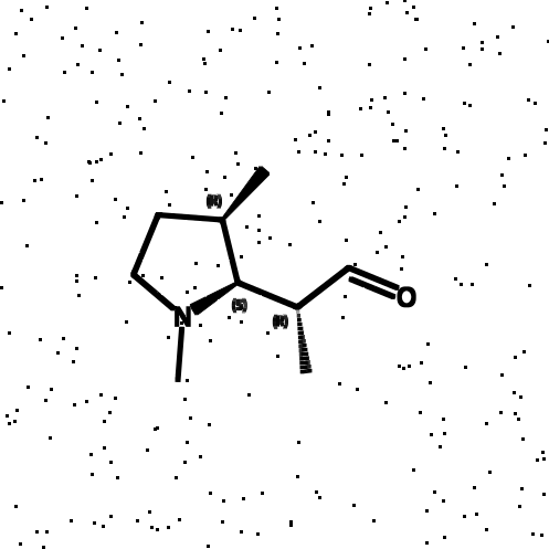 C[C@@H]1CCN(C)[C@@H]1[C@@H](C)C=O